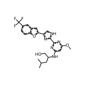 COc1cc(NC(CO)CC(C)C)nc(-c2nc(-c3cc4cc(C(F)(F)F)ccc4o3)c[nH]2)n1